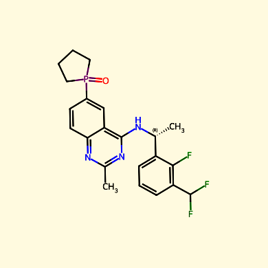 Cc1nc(N[C@H](C)c2cccc(C(F)F)c2F)c2cc(P3(=O)CCCC3)ccc2n1